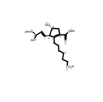 CCCCC[C@H](O)/C=C/[C@@H]1C(CCCCCCC(=O)O)=C(C(=O)OC)C[C@H]1O